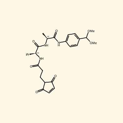 COC(OC)c1ccc(NC(=O)[C@H](C)NC(=O)[C@@H](NC(=O)CCC2C(=O)C=CC2=O)C(C)C)cc1